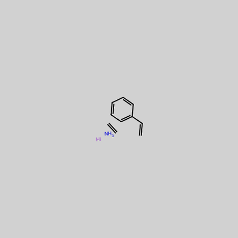 C=C.C=Cc1ccccc1.I.N